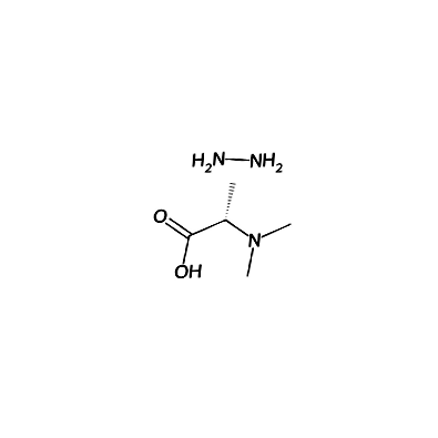 C[C@@H](C(=O)O)N(C)C.NN